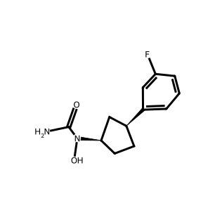 NC(=O)N(O)[C@@H]1CC[C@H](c2cccc(F)c2)C1